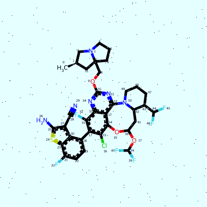 C[C@H]1CN2CCCC2(COc2nc3c4c(c(Cl)c(-c5ccc(F)c6sc(N)c(C#N)c56)c(F)c4n2)OC(OC(F)F)CC2C(C(F)F)CCCN32)C1